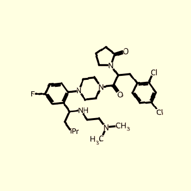 CC(C)CC(NCCN(C)C)c1cc(F)ccc1N1CCN(C(=O)C(Cc2ccc(Cl)cc2Cl)N2CCCC2=O)CC1